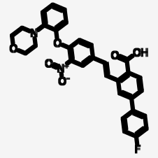 O=C(O)c1ccc(-c2ccc(F)cc2)cc1C=Cc1ccc(Oc2ccccc2N2CCOCC2)c([N+](=O)[O-])c1